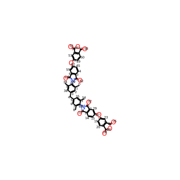 Cc1cc(Cc2cc(C)c(N3C(=O)c4ccc(Oc5ccc6c(c5)C(=O)OC6=O)cc4C3=O)c(C)c2)cc(C)c1N1C(=O)c2ccc(Oc3ccc4c(c3)C(=O)OC4=O)cc2C1=O